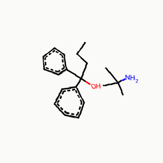 CC(C)(C)N.CCCC(O)(c1ccccc1)c1ccccc1